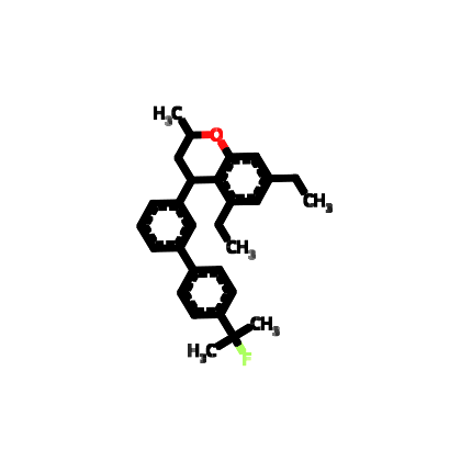 CCc1cc(CC)c2c(c1)OC(C)CC2c1cccc(-c2ccc(C(C)(C)F)cc2)c1